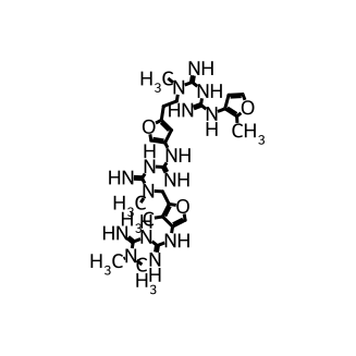 Cc1occc1NC(=N)NC(=N)N(C)CCc1cc(NC(=N)NC(=N)N(C)Cc2occ(NC(=N)NC(=N)N(C)C)c2C)co1